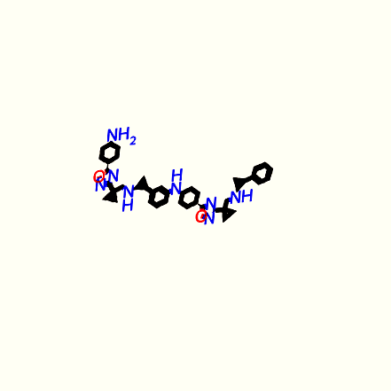 N[C@H]1CC[C@H](c2nc(C3(CN[C@H]4CC4c4cccc(N[C@H]5CC[C@@H](c6nc(C7(CN[C@H]8CC8c8ccccc8)CC7)no6)CC5)c4)CC3)no2)CC1